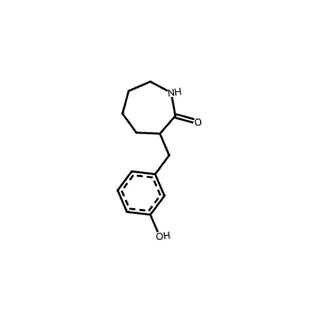 O=C1NCCCCC1Cc1cccc(O)c1